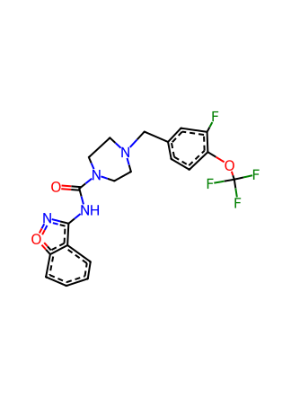 O=C(Nc1noc2ccccc12)N1CCN(Cc2ccc(OC(F)(F)F)c(F)c2)CC1